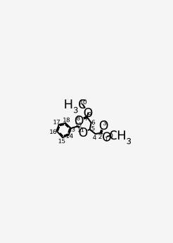 COC(=O)CC(CC(=O)OC)OCc1ccccc1